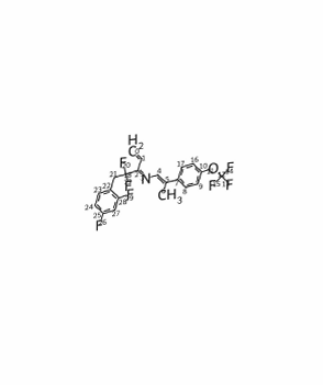 C=C/C(=N\C=C(/C)c1ccc(OC(F)(F)F)cc1)C(F)(F)Cc1ccc(F)cc1F